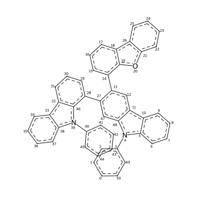 c1ccc(-n2c3ccccc3c3cc(-c4cccc5c4oc4ccccc45)c(-c4cccc5c6ccccc6n(-c6ccccc6)c45)cc32)cc1